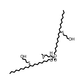 CCCCCCCCCC(CCCCCCCCCOP(=O)(NCCN(C)C)OCCCCCCCCC(CCCCCCCCC)SCCCO)SCCCO